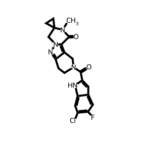 CN1C(=O)c2c3c(nn2CC12CC2)CCN(C(=O)c1cc2cc(F)c(Cl)cc2[nH]1)C3